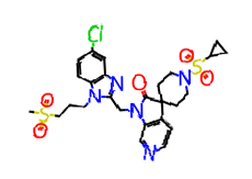 CS(=O)(=O)CCCn1c(CN2C(=O)C3(CCN(S(=O)(=O)C4CC4)CC3)c3ccncc32)nc2cc(Cl)ccc21